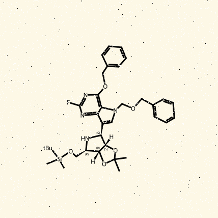 CC1(C)O[C@@H]2[C@H](O1)[C@@H](CO[Si](C)(C)C(C)(C)C)N[C@H]2c1cn(COCc2ccccc2)c2c(OCc3ccccc3)nc(F)nc12